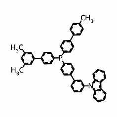 Cc1ccc(-c2ccc(P(c3ccc(-c4cc(C)cc(C)c4)cc3)c3ccc(-c4cccc(-n5c6ccccc6c6ccccc65)c4)cc3)cc2)cc1